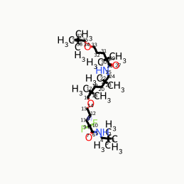 CC(C)(C)CNC(=O)C(F)(F)/C=C/COCC(C)(C)CCC(C)(C)CNC(=O)C(C)(C)CCCOCC(C)(C)C